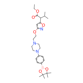 CCOC(=O)C(c1cc(OCCN2CCN(c3ccc(B4OC(C)(C)C(C)(C)O4)cc3)CC2)no1)C(C)C